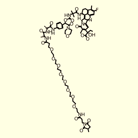 CC[C@@]1(O)C(=O)OCc2c1cc1n(c2=O)Cc2c-1nc1cc(F)c(C)c3c1c2[C@@H](NC(=O)C(C)(C)NC(=O)OC(C(=O)N1CCOCC1)c1ccc(NC(=O)[C@H](C)NC(=O)[C@H](C)NC(=O)CCOCCOCCOCCOCCOCCOCCOCCOCCNC(=O)CCN2C(=O)CC(C)C2=O)cc1)CC3